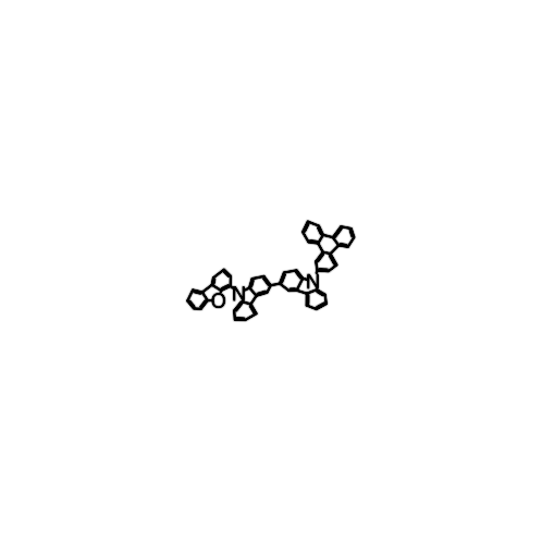 c1ccc2c(c1)oc1c(-n3c4ccccc4c4cc(-c5ccc6c(c5)c5ccccc5n6-c5ccc6c7ccccc7c7ccccc7c6c5)ccc43)cccc12